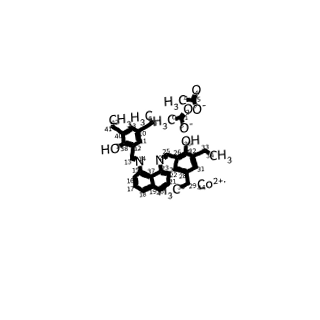 CC(=O)[O-].CC(=O)[O-].CCc1cc(C=Nc2cccc3cccc(N=Cc4cc(CC)cc(CC)c4O)c23)c(O)c(CC)c1.[Co+2]